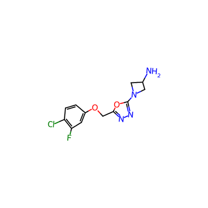 NC1CN(c2nnc(COc3ccc(Cl)c(F)c3)o2)C1